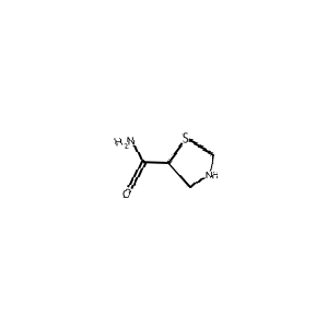 NC(=O)C1CNCS1